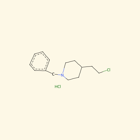 Cl.ClCCC1CCN(Cc2ccccc2)CC1